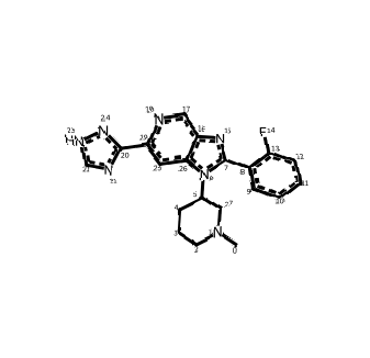 CN1CCCC(n2c(-c3ccccc3F)nc3cnc(-c4nc[nH]n4)cc32)C1